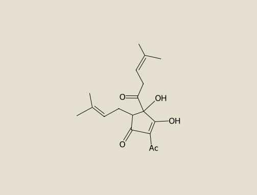 CC(=O)C1=C(O)C(O)(C(=O)CC=C(C)C)C(CC=C(C)C)C1=O